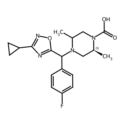 CC1CN(C(=O)O)[C@@H](C)CN1C(c1ccc(F)cc1)c1nc(C2CC2)no1